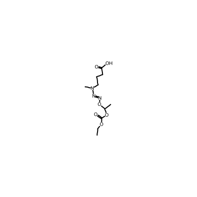 CCOC(=O)OC(C)ON=NN(C)CCCC(=O)O